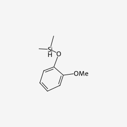 COc1ccccc1O[SiH](C)C